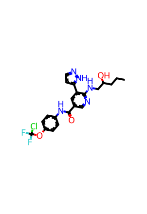 CCCC(O)CNc1ncc(C(=O)Nc2ccc(OC(F)(F)Cl)cc2)cc1-c1ccn[nH]1